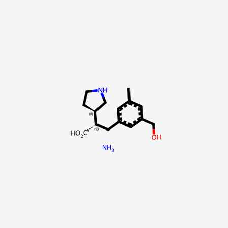 Cc1cc(CO)cc(C[C@H](C(=O)O)[C@H]2CCNC2)c1.N